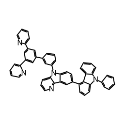 c1ccc(-n2c3ccccc3c3c(-c4ccc5c(c4)c4ncccc4n5-c4cccc(-c5cc(-c6ccccn6)cc(-c6ccccn6)c5)c4)cccc32)cc1